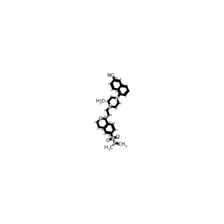 C[C@@H]1CN(c2cccc3cc(C#N)ccc23)CCN1CC[C@@H]1OCCc2cc(S(=O)(=O)N(C)C)ccc21